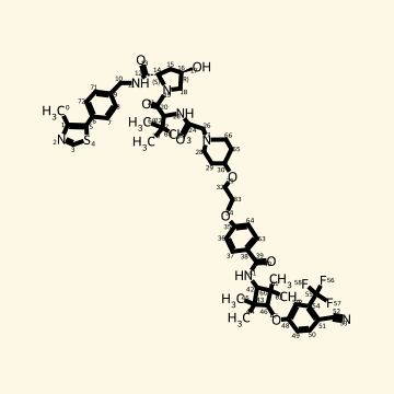 Cc1ncsc1-c1ccc(CNC(=O)[C@@H]2C[C@@H](O)CN2C(=O)C(NC(=O)CN2CCC(OCCOc3ccc(C(=O)NC4C(C)(C)C(Oc5ccc(C#N)c(C(F)(F)F)c5)C4(C)C)cc3)CC2)C(C)(C)C)cc1